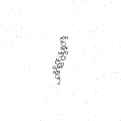 Cc1c(NC(=O)c2nc3c(n2C)CCN(C[C@H](C)O)C3)cccc1-c1nccc(NC(=O)c2nc3c(n2C)CCN(CC2CC2)C3)c1Cl